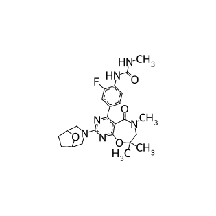 CNC(=O)Nc1ccc(-c2nc(N3CC4CCC(C3)O4)nc3c2C(=O)N(C)CC(C)(C)O3)cc1F